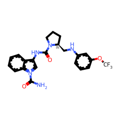 NC(=O)n1cc(NC(=O)N2CCC[C@H]2CNc2cccc(OC(F)(F)F)c2)c2ccccc21